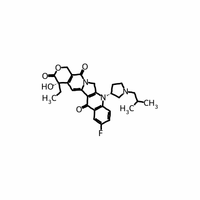 CC[C@@]1(O)C(=O)OCc2c1cc1n(c2=O)Cc2c-1c(=O)c1cc(F)ccc1n2[C@@H]1CCN(CC(C)C)C1